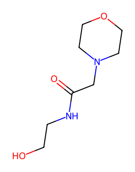 O=C(CN1CCOCC1)NCCO